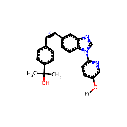 CC(C)Oc1ccc(-n2cnc3cc(/C=C\c4ccc(C(C)(C)O)cc4)ccc32)nc1